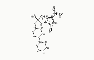 CC(O)(CN1CCC(N2CCCCC2)CC1)Cn1cc([N+](=O)[O-])nc1Cl